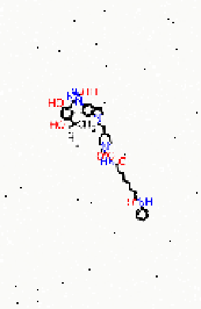 CC(C)c1cc(-c2nnc(O)n2-c2ccc3c(ccn3CCC3CCN(C(=O)ONC(=O)CCCCCCC(=O)Nc4ccccc4)CC3)c2)c(O)cc1O